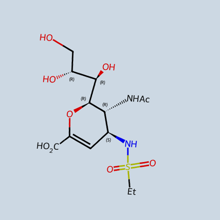 CCS(=O)(=O)N[C@H]1C=C(C(=O)O)O[C@@H]([C@H](O)[C@H](O)CO)[C@@H]1NC(C)=O